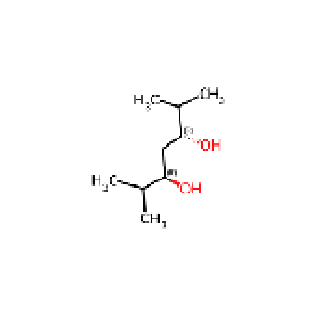 CC(C)[C@H](O)C[C@@H](O)C(C)C